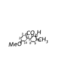 COc1ccc(C(=O)O)c(-c2ccc(C)cc2)c1